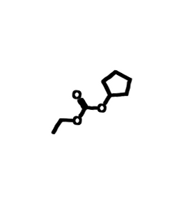 CCOC(=O)OC1CCCC1